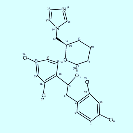 Clc1ccc(CC(O[C@H]2CCC[C@H](Cn3ccnc3)O2)c2ccc(Cl)cc2Cl)c(Cl)c1